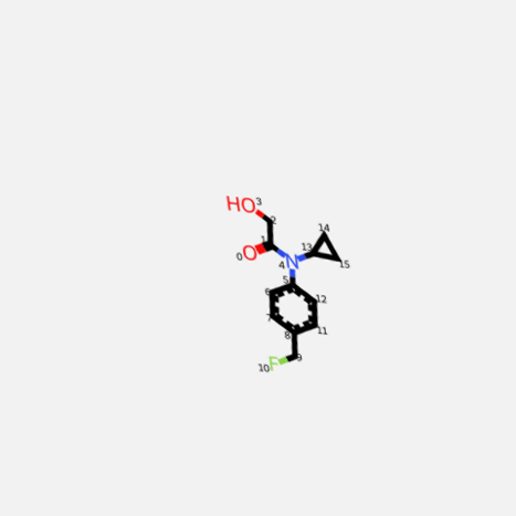 O=C(CO)N(c1ccc(CF)cc1)C1CC1